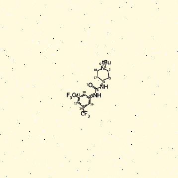 CC(C)(C)N1CCC(NC(=O)Nc2cc(C(F)(F)F)cc(C(F)(F)F)c2)CC1